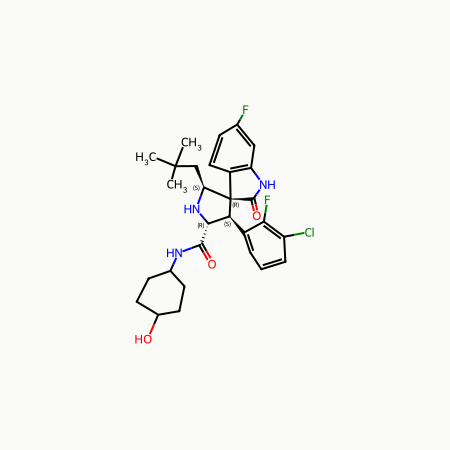 CC(C)(C)C[C@@H]1N[C@@H](C(=O)NC2CCC(O)CC2)[C@H](c2cccc(Cl)c2F)[C@]12C(=O)Nc1cc(F)ccc12